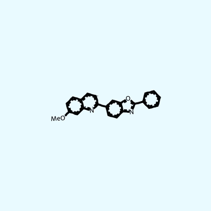 COc1ccc2c[c]c(-c3ccc4nc(-c5ccccc5)oc4c3)nc2c1